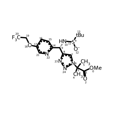 COC(=O)C(C)(C)n1cc([C@@H](N[S+]([O-])C(C)(C)C)c2ccc(OCC(F)(F)F)cn2)nn1